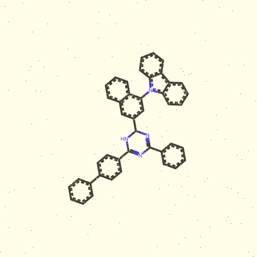 c1ccc(C2=NC(c3cc(-n4c5ccccc5c5ccccc54)c4ccccc4c3)NC(c3ccc(-c4ccccc4)cc3)=N2)cc1